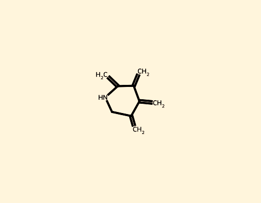 C=C1CNC(=C)C(=C)C1=C